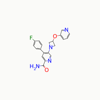 NC(=O)c1cc(-c2ccc(F)cc2)c(N2CC(Oc3cccnc3)C2)cn1